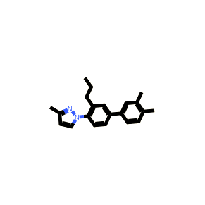 CCCc1cc(-c2ccc(C)c(C)c2)ccc1-n1ccc(C)n1